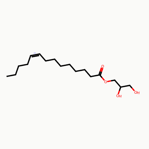 CCCC/C=C\CCCCCCCC(=O)OCC(O)CO